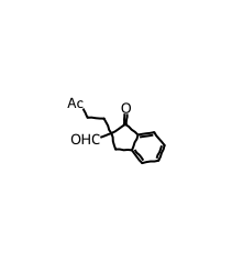 CC(=O)CCC1(C=O)Cc2ccccc2C1=O